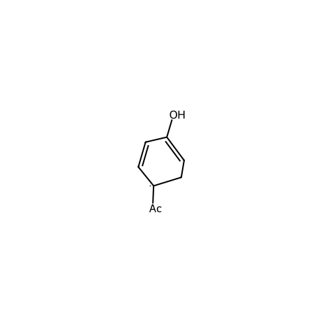 CC(=O)[C]1C=CC(O)=CC1